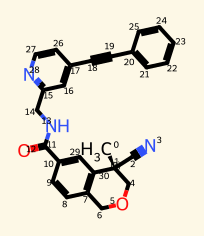 C[C@@]1(C#N)COCc2ccc(C(=O)NCc3cc(C#Cc4ccccc4)ccn3)cc21